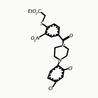 CCOC(=O)CSc1ccc(C(=O)N2CCN(c3ccc(Cl)cc3Cl)CC2)cc1[N+](=O)[O-]